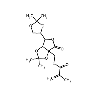 C=C(C)C(=O)OCC12OC(C)(C)OC1C(C1COC(C)(C)O1)OC2=O